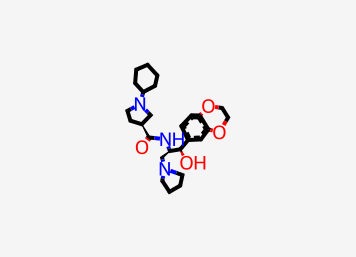 O=C(N[C@H](CN1CCCC1)[C@H](O)c1ccc2c(c1)OCCO2)[C@H]1CCN(C2CCCCC2)C1